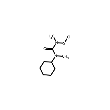 CN(SCl)C(=O)N(C)C1CCCCC1